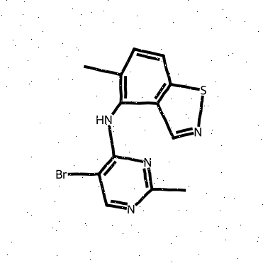 Cc1ncc(Br)c(Nc2c(C)ccc3sncc23)n1